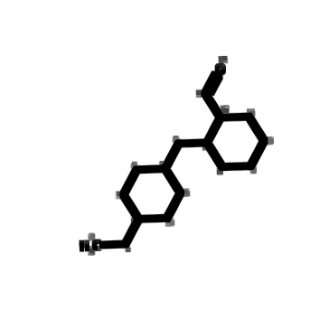 CCC1CCC(CC2CCCCC2C=O)CC1